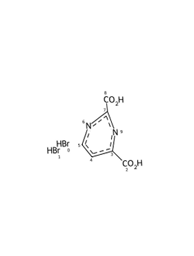 Br.Br.O=C(O)c1ccnc(C(=O)O)n1